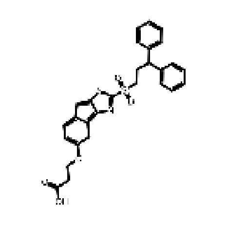 O=C(O)CCOC1=CC=C2C=c3sc(S(=O)(=O)CCC(c4ccccc4)c4ccccc4)nc3=C2C1